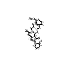 COCCn1c(COCc2cccc(OC)c2)c2c(=O)n(-c3ccccc3Cl)[nH]c2cc1=O